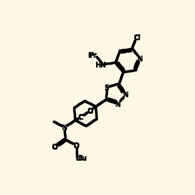 CC(C)Nc1cc(Cl)ncc1-c1nnc(C23CCC(N(C)C(=O)OC(C)(C)C)(CC2)CO3)s1